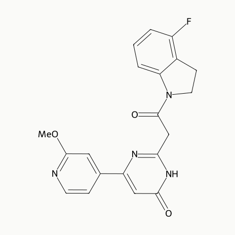 COc1cc(-c2cc(=O)[nH]c(CC(=O)N3CCc4c(F)cccc43)n2)ccn1